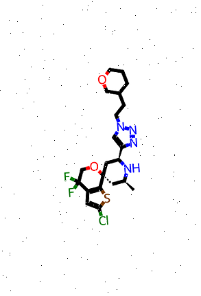 C[C@H]1C[C@@]2(C[C@@H](c3cn(CCC4CCCOC4)nn3)N1)OCC(F)(F)c1cc(Cl)sc12